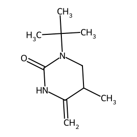 C=C1NC(=O)N(C(C)(C)C)CC1C